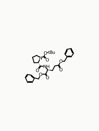 CC(C)(C)OC(=O)N1CCC[C@H]1C(=O)N[C@@H](CCC(=O)OCc1ccccc1)C(=O)OCc1ccccc1